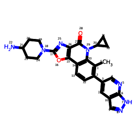 Cc1c(-c2cnc3[nH]ncc3c2)ccc2c3oc(N4CCC(N)CC4)nc3c(=O)n(C3CC3)c12